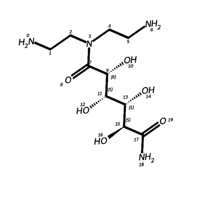 NCCN(CCN)C(=O)[C@H](O)[C@@H](O)[C@H](O)[C@H](O)C(N)=O